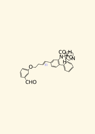 O=Cc1cccc(OCC/C=C/c2ccc(-c3ccccc3)c(N(C(=O)O)[C@H]3CN4CCC3CC4)c2)c1